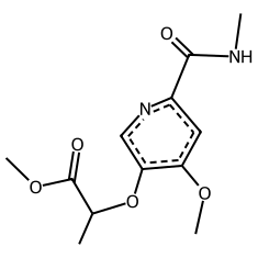 CNC(=O)c1cc(OC)c(OC(C)C(=O)OC)cn1